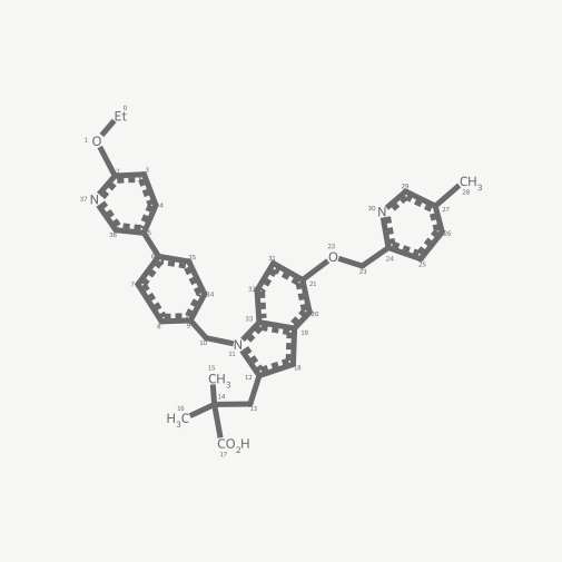 CCOc1ccc(-c2ccc(Cn3c(CC(C)(C)C(=O)O)cc4cc(OCc5ccc(C)cn5)ccc43)cc2)cn1